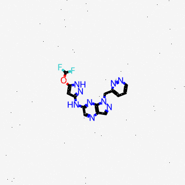 FC(F)Oc1cc(Nc2cnc3cnn(Cc4cccnn4)c3n2)n[nH]1